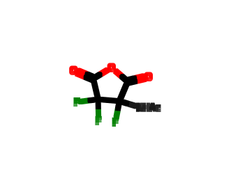 CC(=O)NC1(F)C(=O)OC(=O)C1(F)F